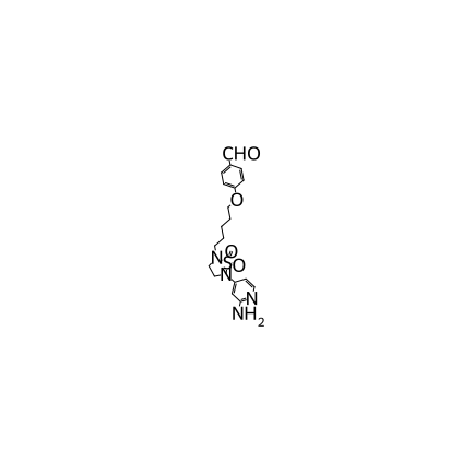 Nc1cc(N2CCN(CCCCCOc3ccc(C=O)cc3)S2(=O)=O)ccn1